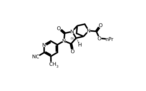 CCCOC(=O)N1CC2CC1[C@H]1C(=O)N(c3cnc(C#N)c(C)c3)C(=O)N21